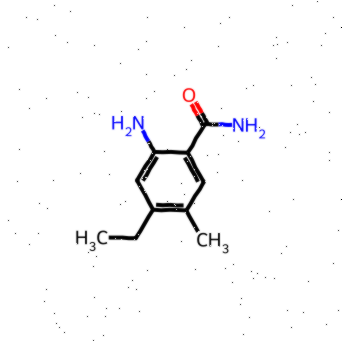 CCc1cc(N)c(C(N)=O)cc1C